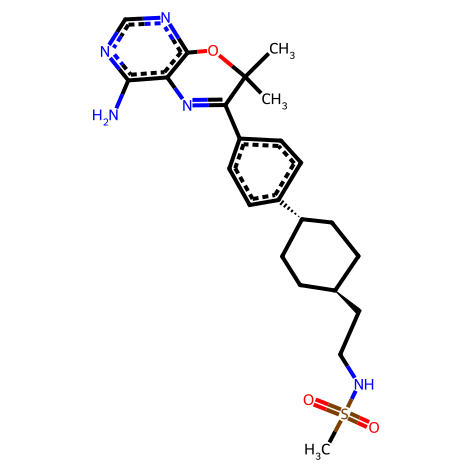 CC1(C)Oc2ncnc(N)c2N=C1c1ccc([C@H]2CC[C@H](CCNS(C)(=O)=O)CC2)cc1